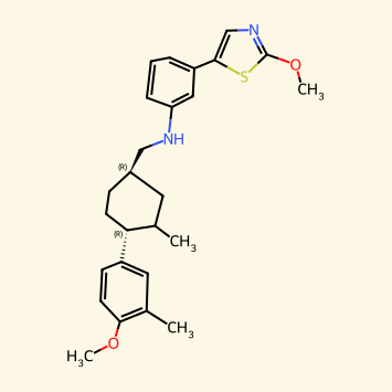 COc1ncc(-c2cccc(NC[C@@H]3CC[C@@H](c4ccc(OC)c(C)c4)C(C)C3)c2)s1